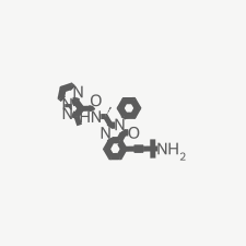 Cc1nn2cccnc2c1C(=O)N[C@H](C)c1nc2cccc(C#CC(C)(C)N)c2c(=O)n1-c1ccccc1